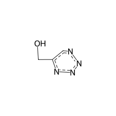 OCc1cnnnn1